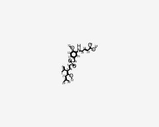 C=C(C)C(/C=C/S(=O)(=O)Cc1ccc(OC)c(NC/C=C/C(=O)OC)c1)=C(\C=C(C)C)OC